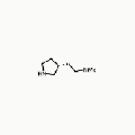 CNCC[C@H]1CCNC1